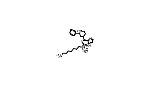 Cl.NCCCCCCCNc1nc(C2CCNC(c3ccccc3)C2)c2nccc-2[nH]1.O